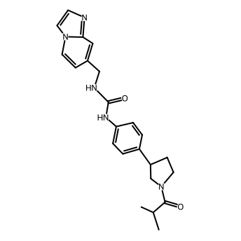 CC(C)C(=O)N1CCC(c2ccc(NC(=O)NCc3ccn4ccnc4c3)cc2)C1